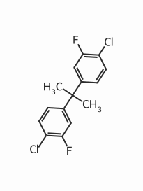 CC(C)(c1ccc(Cl)c(F)c1)c1ccc(Cl)c(F)c1